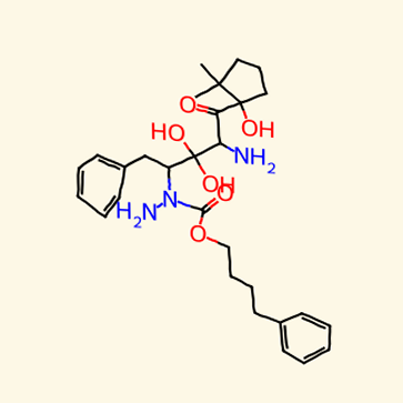 CC1(C)CCCC1(O)C(=O)C(N)C(O)(O)C(Cc1ccccc1)N(N)C(=O)OCCCCc1ccccc1